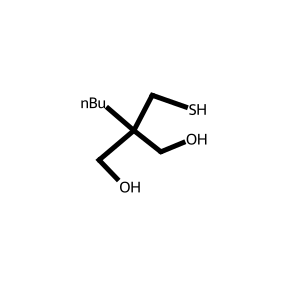 CCCCC(CO)(CO)CS